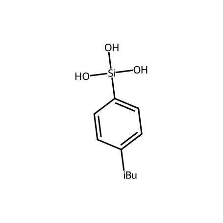 CCC(C)c1ccc([Si](O)(O)O)cc1